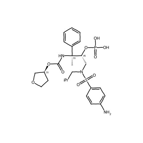 CC(C)CN(C[C@@H](OP(=O)(O)O)[C@@](C)(NC(=O)O[C@H]1CCOC1)c1ccccc1)S(=O)(=O)c1ccc(N)cc1